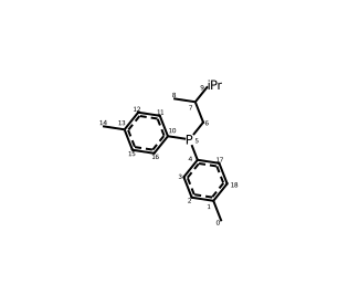 Cc1ccc(P(CC(C)C(C)C)c2ccc(C)cc2)cc1